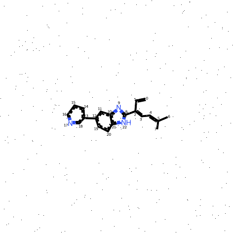 C=C/C(=C\C=C(C)C)c1nc2cc(-c3cccnc3)ccc2[nH]1